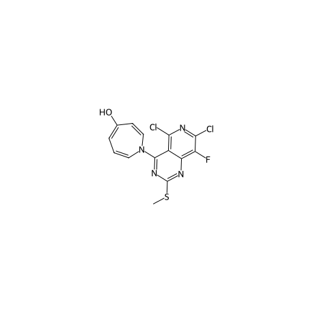 CSc1nc(N2C=CC=C(O)C=C2)c2c(Cl)nc(Cl)c(F)c2n1